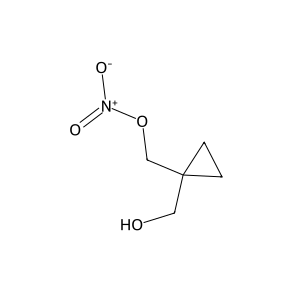 O=[N+]([O-])OCC1(CO)CC1